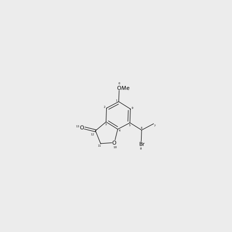 COc1cc2c(c(C(C)Br)c1)OCC2=O